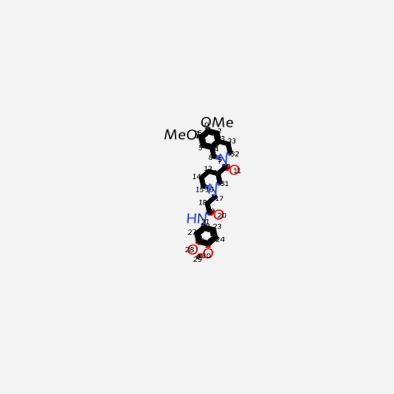 COc1cc2c(cc1OC)CN(C(=O)C1CCCN(CCC(=O)Nc3ccc4c(c3)OCO4)C1)CC2